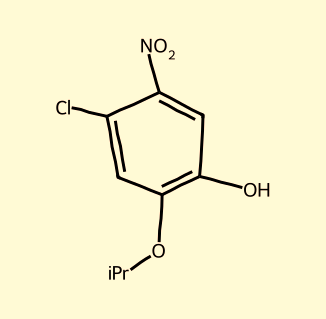 CC(C)Oc1cc(Cl)c([N+](=O)[O-])cc1O